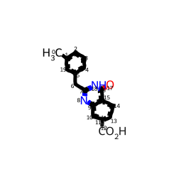 Cc1cccc(Cc2nc3cc(C(=O)O)ccc3c(=O)[nH]2)c1